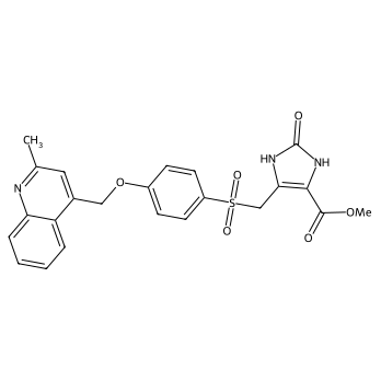 COC(=O)c1[nH]c(=O)[nH]c1CS(=O)(=O)c1ccc(OCc2cc(C)nc3ccccc23)cc1